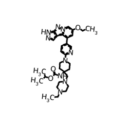 CCOc1cc(-c2ccc(N3CCC(CN4CCN(CC)CC4)(NC(=O)OC(C)C)CC3)nc2)c2c3cn[nH]c3nn2c1